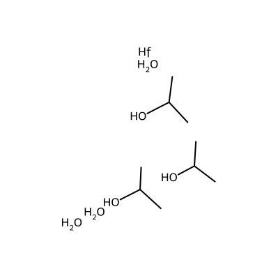 CC(C)O.CC(C)O.CC(C)O.O.O.O.[Hf]